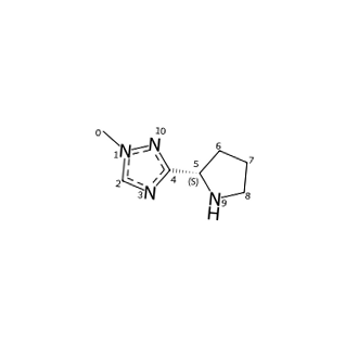 Cn1cnc([C@@H]2CCCN2)n1